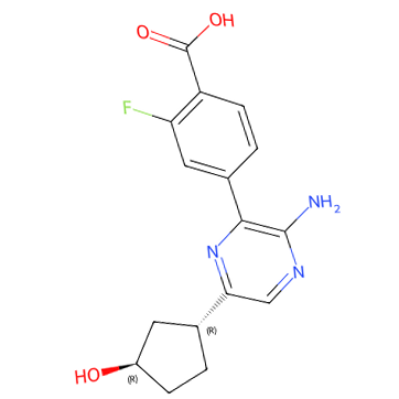 Nc1ncc([C@@H]2CC[C@@H](O)C2)nc1-c1ccc(C(=O)O)c(F)c1